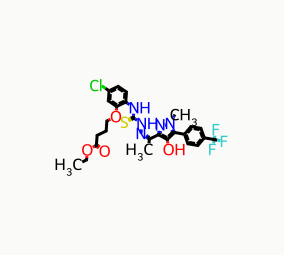 CCOC(=O)CCCOc1cc(Cl)ccc1NC(=S)N/N=C(/C)c1nn(C)c(-c2ccc(C(F)(F)F)cc2)c1O